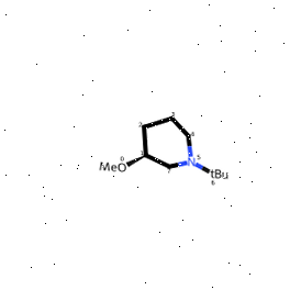 CO[C@H]1CCCN(C(C)(C)C)C1